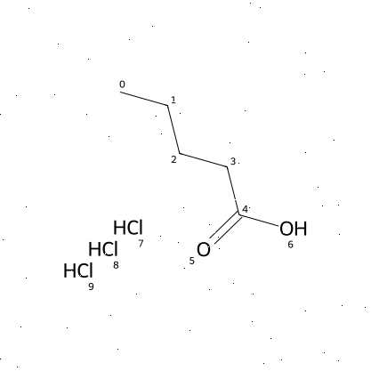 CCCCC(=O)O.Cl.Cl.Cl